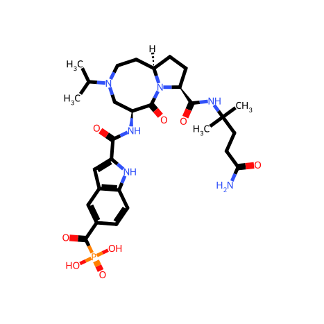 CC(C)N1CC[C@H]2CC[C@@H](C(=O)NC(C)(C)CCC(N)=O)N2C(=O)[C@@H](NC(=O)c2cc3cc(C(=O)P(=O)(O)O)ccc3[nH]2)C1